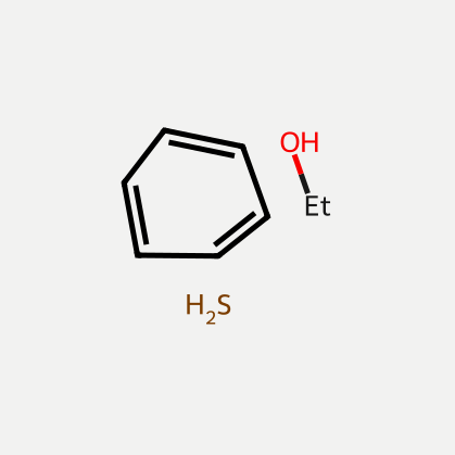 CCO.S.c1ccccc1